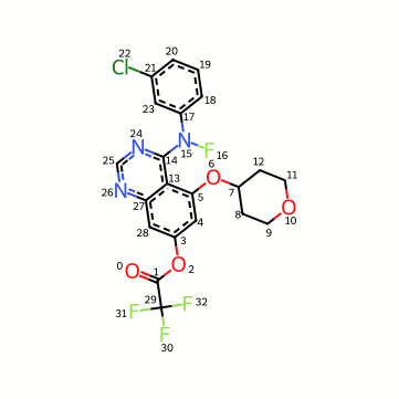 O=C(Oc1cc(OC2CCOCC2)c2c(N(F)c3cccc(Cl)c3)ncnc2c1)C(F)(F)F